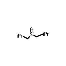 CC(C)C[SiH]CC(C)C